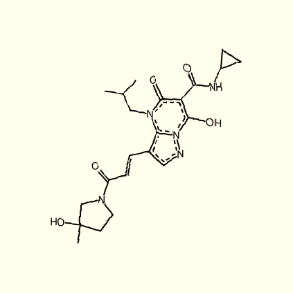 CC(C)Cn1c(=O)c(C(=O)NC2CC2)c(O)n2ncc(C=CC(=O)N3CCC(C)(O)C3)c12